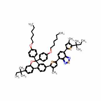 CCCCCCOc1ccc(C2(c3ccc(OCCCCCC)cc3)Oc3cc(C(C)(C)CC)ccc3-c3ccc(-c4sc(-c5ccc(-c6cc(C)c(C(C)(C)CC)s6)c6nsnc56)cc4C)cc32)cc1